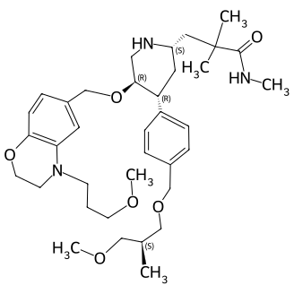 CNC(=O)C(C)(C)C[C@@H]1C[C@H](c2ccc(COC[C@@H](C)COC)cc2)[C@@H](OCc2ccc3c(c2)N(CCCOC)CCO3)CN1